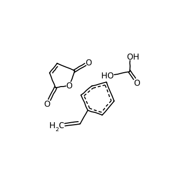 C=Cc1ccccc1.O=C(O)O.O=C1C=CC(=O)O1